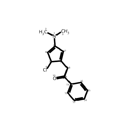 CN(C)C1=CC(Cl)C(CC(=O)c2ccccc2)=C1